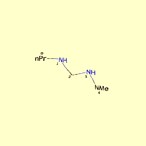 CCCNCNNC